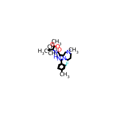 COC(=O)C(NC(=O)c1nc(-c2ccc(C)cc2F)n2c1CN(C)CCC2)C(C)(C)C